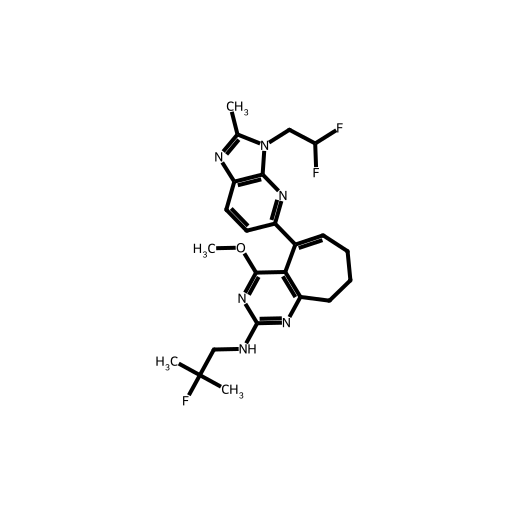 COc1nc(NCC(C)(C)F)nc2c1C(c1ccc3nc(C)n(CC(F)F)c3n1)=CCCC2